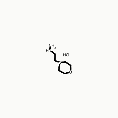 Cl.NNCCN1CCOCC1